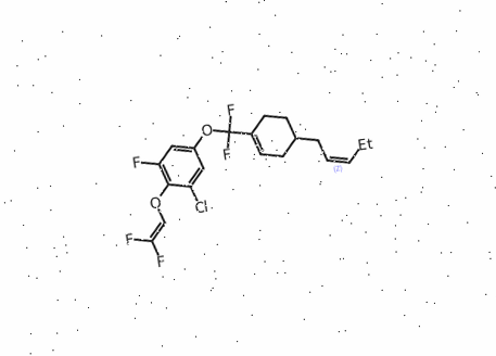 CC/C=C\CC1CC=C(C(F)(F)Oc2cc(F)c(OC=C(F)F)c(Cl)c2)CC1